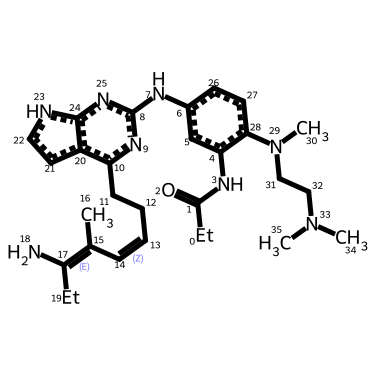 CCC(=O)Nc1cc(Nc2nc(CC/C=C\C(C)=C(\N)CC)c3cc[nH]c3n2)ccc1N(C)CCN(C)C